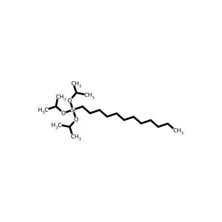 CCCCCCCCCCC[CH][Si](OC(C)C)(OC(C)C)OC(C)C